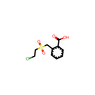 O=C(O)c1ccccc1CS(=O)(=O)CCCl